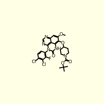 COc1cc2ncnc3c2c(c1OC1CCN(C(=O)OC(C)(C)C)CC1)NC(=O)N3c1ccc(Cl)c(Cl)c1F